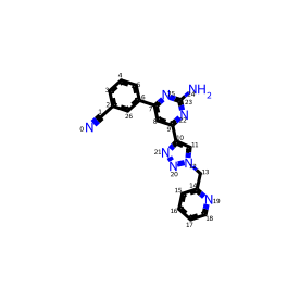 N#Cc1cccc(-c2cc(-c3cn(Cc4ccccn4)nn3)nc(N)n2)c1